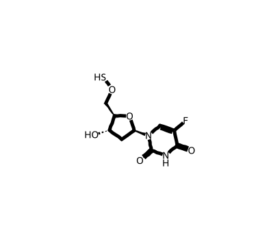 O=c1[nH]c(=O)n([C@H]2C[C@H](O)[C@@H](COS)O2)cc1F